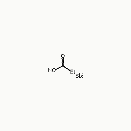 CCC(=O)O.[Sb]